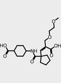 COCCOCC(=CC1(C(=O)NC2CCC(C(=O)O)CC2)CCCC1)C(=O)O